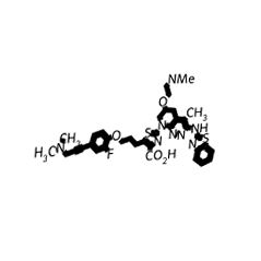 CNCCOC1Cc2c(nnc(Nc3nc4ccccc4s3)c2C)N(c2nc(C(=O)O)c(CCCOc3ccc(C#CCN(C)C)cc3F)s2)C1